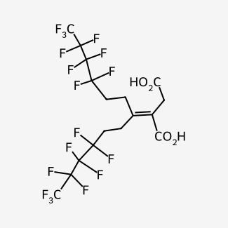 O=C(O)CC(C(=O)O)=C(CCC(F)(F)C(F)(F)C(F)(F)C(F)(F)F)CCC(F)(F)C(F)(F)C(F)(F)C(F)(F)F